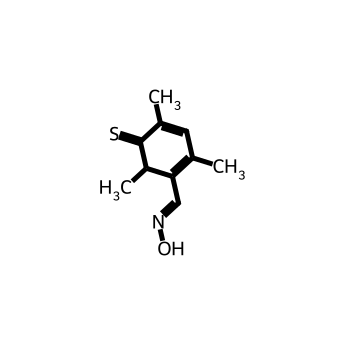 CC1=CC(C)=C(C=NO)C(C)C1=S